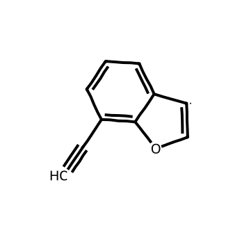 C#Cc1cccc2[c]coc12